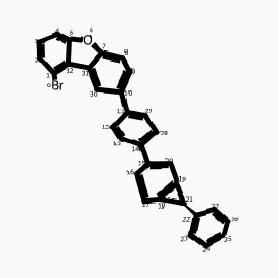 Brc1cccc2oc3ccc(-c4ccc(-c5ccc6c(c5)[C@H]6c5ccccc5)cc4)cc3c12